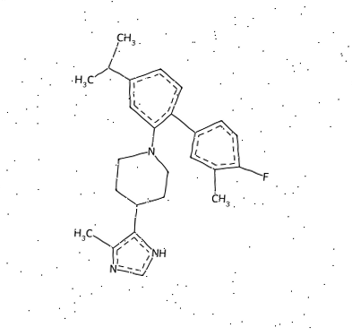 Cc1cc(-c2ccc(C(C)C)cc2N2CCC(c3[nH]cnc3C)CC2)ccc1F